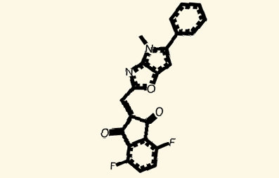 Cn1c(-c2ccccc2)cc2oc(C=C3C(=O)c4c(F)ccc(F)c4C3=O)nc21